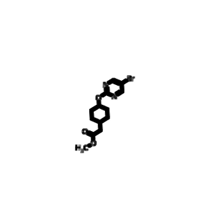 COC(=O)CC1CCC(Oc2ncc(Br)cn2)CC1